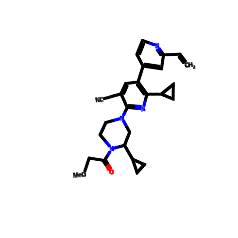 C=Cc1cc(-c2cc(C#N)c(N3CCN(C(=O)COC)C(C4CC4)C3)nc2C2CC2)ccn1